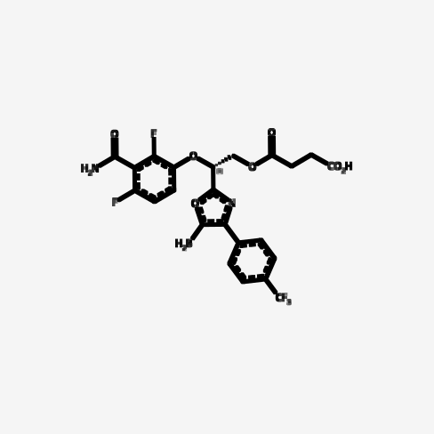 Bc1oc([C@@H](COC(=O)CCC(=O)O)Oc2ccc(F)c(C(N)=O)c2F)nc1-c1ccc(C(F)(F)F)cc1